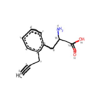 C#CCc1ccccc1CC(N)C(=O)O